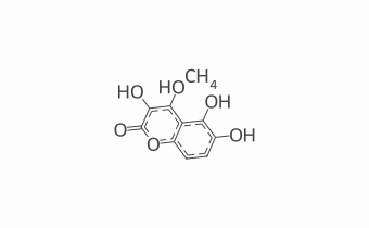 C.O=c1oc2ccc(O)c(O)c2c(O)c1O